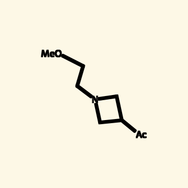 COCCN1CC(C(C)=O)C1